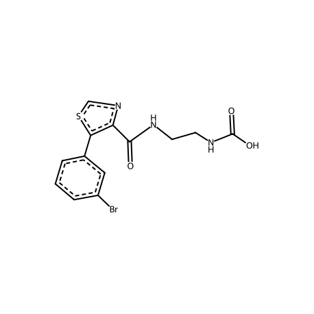 O=C(O)NCCNC(=O)c1ncsc1-c1cccc(Br)c1